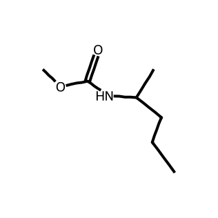 CCCC(C)NC(=O)OC